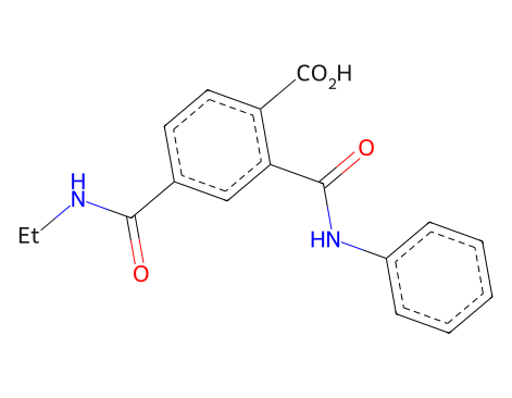 CCNC(=O)c1ccc(C(=O)O)c(C(=O)Nc2ccccc2)c1